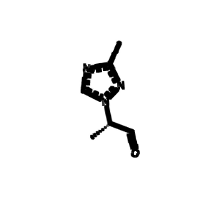 Cc1ncn([C@@H](C)C=O)n1